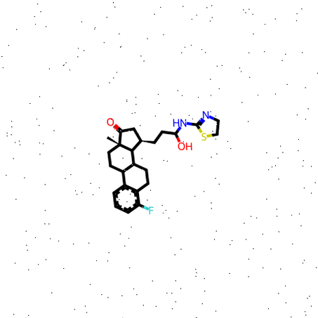 C[C@]12CCC3c4cccc(F)c4CCC3C1[C@H](CCC(O)NC1=NCCS1)CC2=O